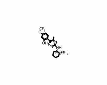 Cc1nc(N[C@@H]2CCCC[C@H]2N)nnc1-c1ccc(OC(F)(F)F)cc1O